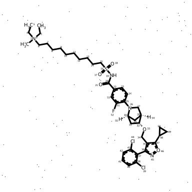 CC[N+](C)(CC)CCCCCCCCCCS(=O)(=O)NC(=O)c1ccc(N2C[C@@H]3C[C@H]2C[C@H]3OCc2c(-c3c(Cl)cccc3Cl)noc2C2CC2)c(F)c1